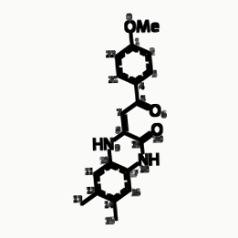 COc1ccc(C(=O)C=C2Nc3cc(C)c(C)cc3NC2=O)cc1